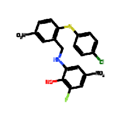 O=[N+]([O-])c1ccc(Sc2ccc(Cl)cc2)c(CNc2cc([N+](=O)[O-])cc(F)c2O)c1